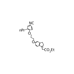 [C-]#[N+]c1ccc(OCCCOc2ccc3c(c2)CC[C@H]3CC(=O)OCC)c(CCC)c1